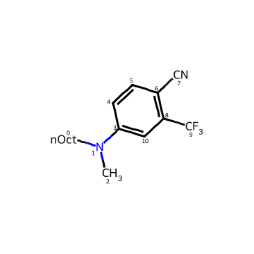 CCCCCCCCN(C)c1ccc(C#N)c(C(F)(F)F)c1